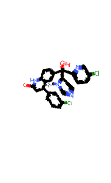 Cn1cncc1C(O)(c1ccc2[nH]c(=O)cc(-c3cccc(Cl)c3)c2c1)c1ccc(Cl)cn1